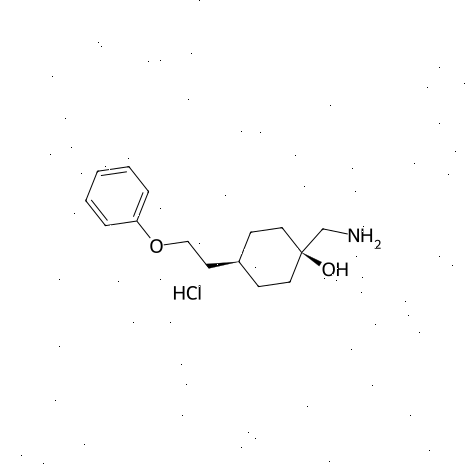 Cl.NC[C@]1(O)CC[C@@H](CCOc2ccccc2)CC1